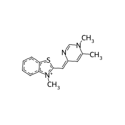 CC1=C/C(=C/c2sc3ccccc3[n+]2C)N=CN1C